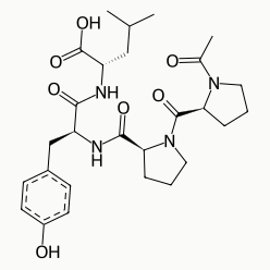 CC(=O)N1CCC[C@H]1C(=O)N1CCC[C@H]1C(=O)N[C@@H](Cc1ccc(O)cc1)C(=O)N[C@@H](CC(C)C)C(=O)O